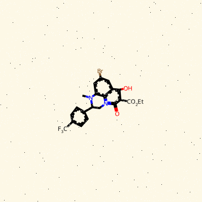 CCOC(=O)c1c(O)c2cc(Br)cc3c2n(c1=O)CC(c1ccc(C(F)(F)F)cc1)N3C